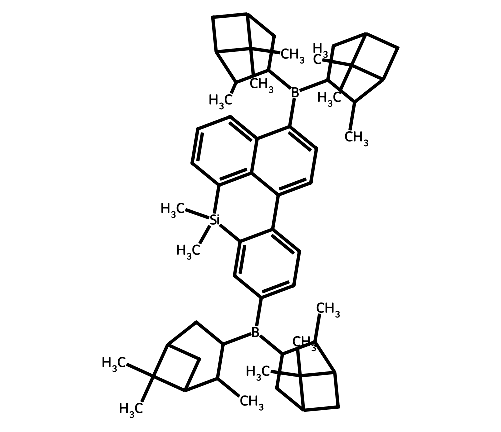 CC1C(B(c2ccc3c(c2)[Si](C)(C)c2cccc4c(B(C5CC6CC(C5C)C6(C)C)C5CC6CC(C5C)C6(C)C)ccc-3c24)C2CC3CC(C2C)C3(C)C)CC2CC1C2(C)C